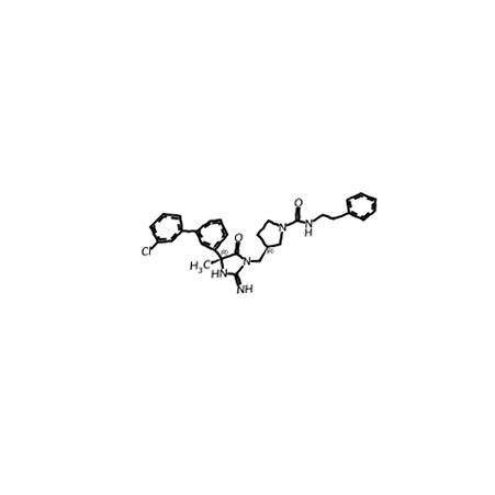 C[C@]1(c2cccc(-c3cccc(Cl)c3)c2)NC(=N)N(C[C@H]2CCN(C(=O)NCCc3ccccc3)C2)C1=O